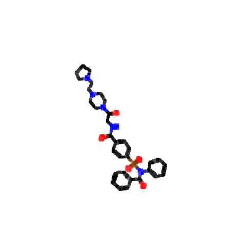 O=C(NCC(=O)N1CCN(CCN2CCCC2)CC1)c1ccc(S(=O)(=O)N(C(=O)c2ccccc2)c2ccccc2)cc1